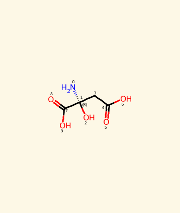 N[C@@](O)(CC(=O)O)C(=O)O